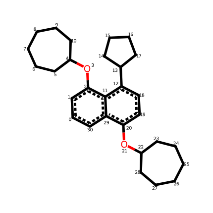 c1cc(OC2CCCCCC2)c2c(C3CCCC3)ccc(OC3CCCCCC3)c2c1